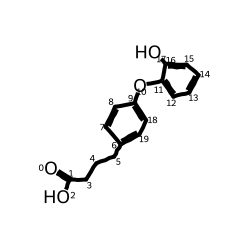 O=C(O)CCCc1ccc(Oc2ccccc2O)cc1